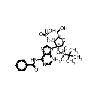 CC(C)(C)[Si](C)(C)O[C@@]1(n2cnc3c(NC(=O)c4ccccc4)ncnc32)CO[C@H](CO)[C@H]1O[PH](=O)O